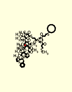 C=C(N[C@@H](Cc1ccccc1)c1nccs1)[C@H](C)[C@@H](OC)[C@@H]1CCCN1C(=O)C[C@@H](OC)[C@H]([C@@H](C)CC)N(C)C(=O)[C@@H](NC(=O)[C@H](C(C)C)N(C)C(=O)CSCCC(=O)N1CN(C(=O)CCSC)CN(C(=O)CCSC2CCCCCCCCCC2)C1)C(C)C